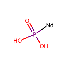 O=[P](O)(O)[Nd]